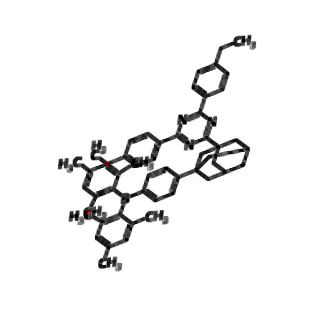 CCc1ccc(-c2nc(-c3ccc(CC)cc3)nc(C34CC5CC(CC(c6ccc(B(c7c(C)cc(C)cc7C)c7c(C)cc(C)cc7C)cc6)(C5)C3)C4)n2)cc1